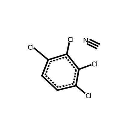 C#N.Clc1ccc(Cl)c(Cl)c1Cl